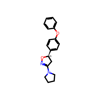 c1ccc(Oc2ccc([C@H]3CC(N4CCCC4)=NO3)cc2)cc1